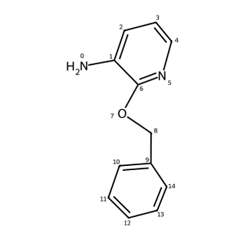 Nc1cccnc1OCc1ccccc1